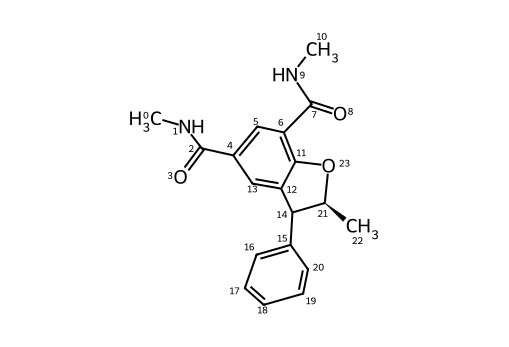 CNC(=O)c1cc(C(=O)NC)c2c(c1)C(c1ccccc1)[C@H](C)O2